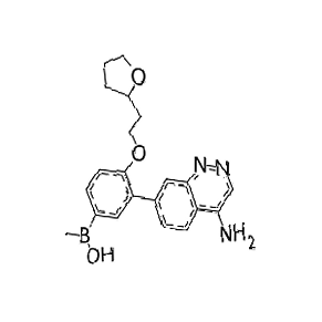 CB(O)c1ccc(OCCC2CCCO2)c(-c2ccc3c(N)cnnc3c2)c1